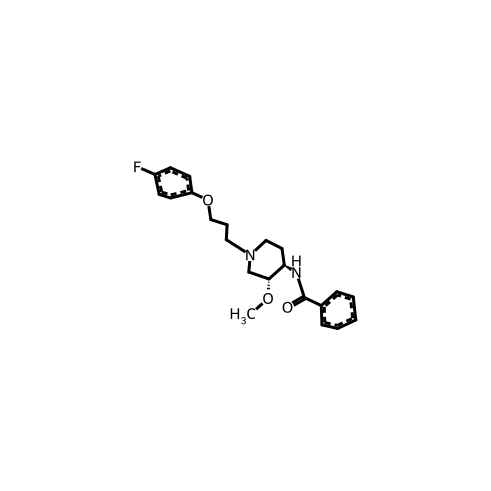 CO[C@@H]1CN(CCCOc2ccc(F)cc2)CC[C@H]1NC(=O)c1ccccc1